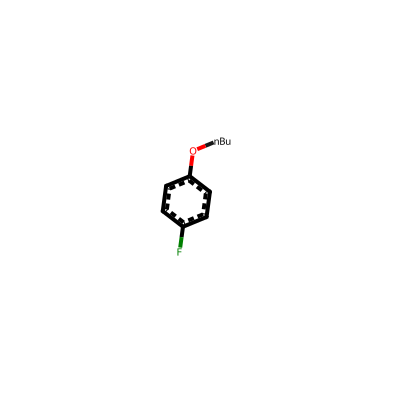 CCCCOc1ccc(F)cc1